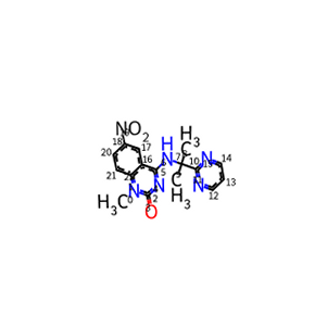 Cn1c(=O)nc(NC(C)(C)c2ncccn2)c2cc([N+](=O)[O-])ccc21